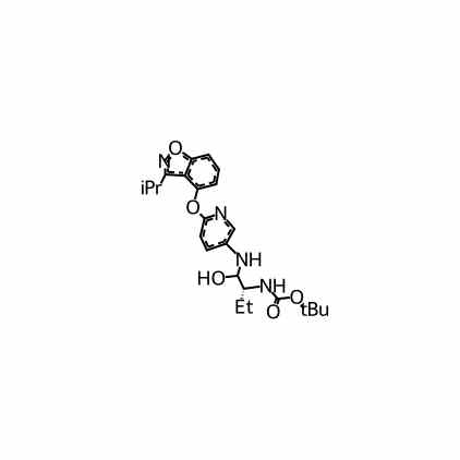 CC[C@@H](NC(=O)OC(C)(C)C)C(O)Nc1ccc(Oc2cccc3onc(C(C)C)c23)nc1